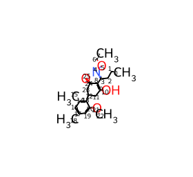 CCCC(=NOCC)C1=C(O)CC(c2c(C)cc(C)cc2OC)CC1=O